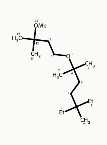 CCC(C)(CC)CCC(C)(C)OCCC(C)(C)OC